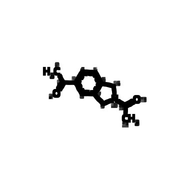 CC(=O)c1ccc2c(c1)CN(C(C)=O)C2